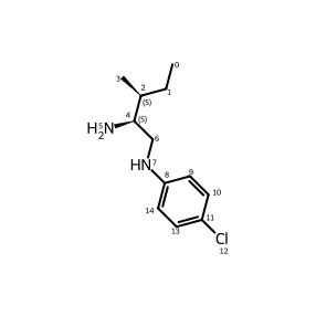 CC[C@H](C)[C@H](N)CNc1ccc(Cl)cc1